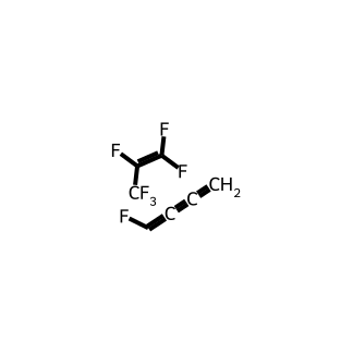 C=C=C=CF.FC(F)=C(F)C(F)(F)F